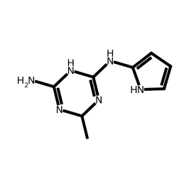 CC1N=C(N)NC(Nc2ccc[nH]2)=N1